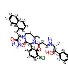 CC1CCN([C@H](Cc2cccc3ccccc23)C(N)=O)C(=O)C(c2cccc(Cl)c2)N1C(=O)CCN[C@H](C)[C@@H](O)c1ccccc1